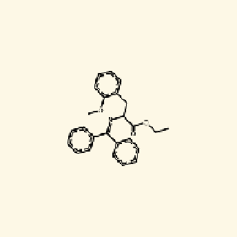 CCOC(=O)C(Cc1ccccc1OC)N=C(c1ccccc1)c1ccccc1